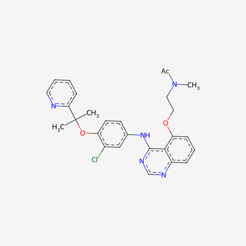 CC(=O)N(C)CCOc1cccc2ncnc(Nc3ccc(OC(C)(C)c4ccccn4)c(Cl)c3)c12